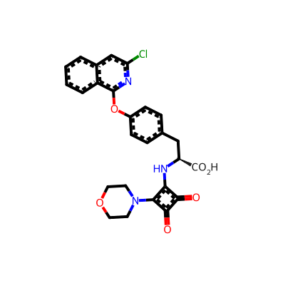 O=C(O)[C@H](Cc1ccc(Oc2nc(Cl)cc3ccccc23)cc1)Nc1c(N2CCOCC2)c(=O)c1=O